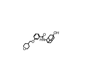 O=C(NC1C2CC3CC1CC(O)(C3)C2)c1cccc(OCC2CCOCC2)c1